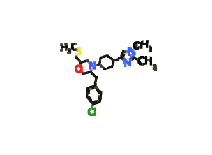 CSCC1CN(C2CCC(c3cn(C)c(C)n3)CC2)C(Cc2ccc(Cl)cc2)CO1